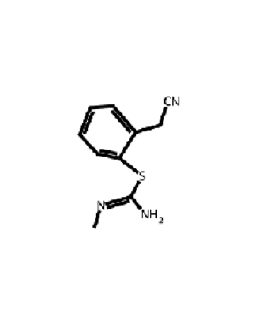 CN=C(N)Sc1ccccc1CC#N